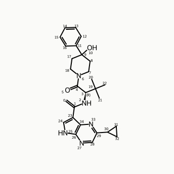 C=C(N[C@@H](C(=O)N1CCC(O)(c2ccccc2)CC1)C(C)(C)C)c1c[nH]c2ncc(C3CC3)nc12